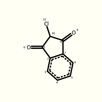 O=C1c2ccccc2C(=O)C1Cl